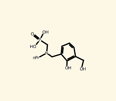 CCCN(Cc1cccc(CO)c1O)CP(=O)(O)O